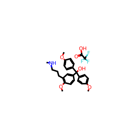 CNCCCc1cc(C(O)(c2ccc(OC)cc2)c2ccc(OC)cc2)ccc1OC.O=C(O)C(F)(F)F